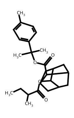 CCC(C)C(=O)OC1C2CC3CC1CC(C2)C3C(=O)OC(C)(C)c1ccc(C)cc1